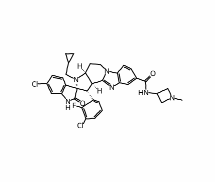 CN1CC(NC(=O)c2ccc3c(c2)nc2n3CC[C@H]3[C@@H]2[C@H](c2cccc(Cl)c2F)[C@]2(C(=O)Nc4cc(Cl)ccc42)N3CC2CC2)C1